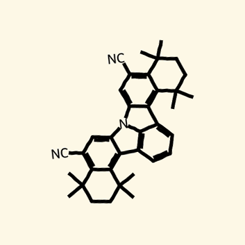 CC1(C)CCC(C)(C)c2c1c(C#N)cc1c2c2cccc3c4c5c(c(C#N)cc4n1c23)C(C)(C)CCC5(C)C